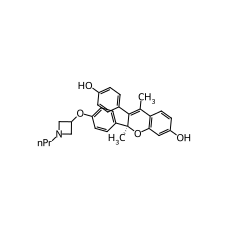 CCCN1CC(Oc2ccc([C@]3(C)Oc4cc(O)ccc4C(C)=C3c3ccc(O)cc3)cc2)C1